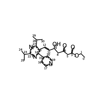 CCOC(=O)CC(=O)CC(O)C=Cc1c(-c2ccncc2)nc(C(C)C)nc1C(C)C